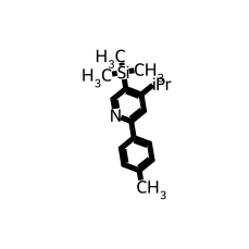 Cc1ccc(-c2cc(C(C)C)c([Si](C)(C)C)cn2)cc1